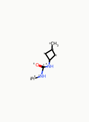 CC1CC(NC(=O)NC(C)C)C1